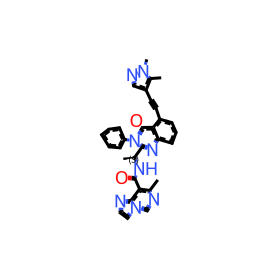 Cc1ncn2ccnc2c1C(=O)N[C@@H](C)c1nc2cccc(C#Cc3cnn(C)c3C)c2c(=O)n1-c1ccccc1